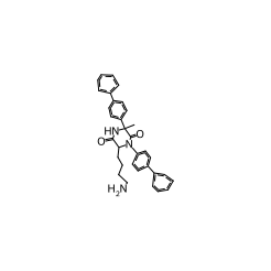 CC1(c2ccc(-c3ccccc3)cc2)NC(=O)C(CCCCN)N(c2ccc(-c3ccccc3)cc2)C1=O